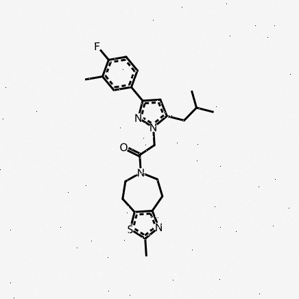 Cc1nc2c(s1)CCN(C(=O)Cn1nc(-c3ccc(F)c(C)c3)cc1CC(C)C)CC2